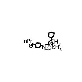 CCCC(=O)c1ccc(N2CCOC(CCc3ccccc3)(N(C)C)C2)cc1